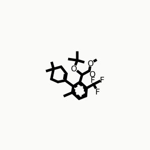 COC(=O)C(OC(C)(C)C)c1c(C(F)(F)F)ccc(C)c1C1=CCC(C)(C)CC1